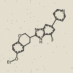 CCOc1ccc2c(c1)CC(c1nc3cc(-c4ccncc4)cc(F)c3[nH]1)CO2